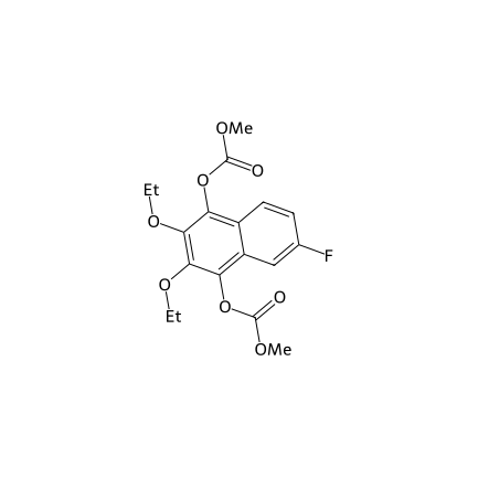 CCOc1c(OCC)c(OC(=O)OC)c2cc(F)ccc2c1OC(=O)OC